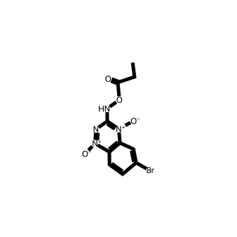 CCC(=O)ONc1n[n+]([O-])c2ccc(Br)cc2[n+]1[O-]